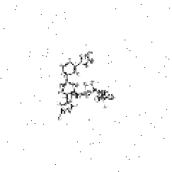 Cn1cc(-c2cccc(-c3ncc(-c4cnn(C)c4)c(N[C@H]4CC[C@H](NS(C)(=O)=O)C4)n3)c2)cn1